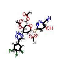 CC(=O)OC[C@H]1O[C@H](Sc2cc(O)c(C#N)nn2)[C@H](OC(C)=O)[C@@H](n2cc(-c3cc(F)c(F)c(F)c3)nn2)[C@H]1OC(C)=O